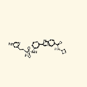 O=C(NC1CCC1)c1ccc2nc(-c3cccc(NS(=O)(=O)NCCc4c[nH]cn4)c3)cn2c1